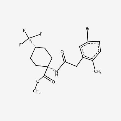 COC(=O)[C@]1(NC(=O)Cc2cc(Br)ccc2C)CC[C@@H](C(F)(F)F)CC1